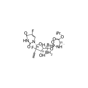 BC(B)(O[PH](=O)N[C@@H](C)C(=O)OC(C)C)C1O[C@@H](n2cc(F)c(=O)[nH]c2=O)C(F)(C#C)[C@H]1O